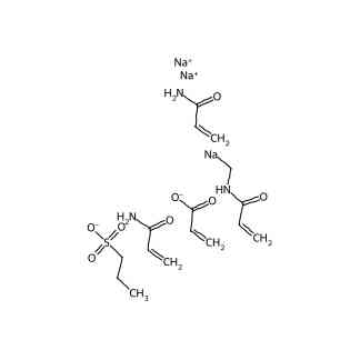 C=CC(=O)N[CH2][Na].C=CC(=O)[O-].C=CC(N)=O.C=CC(N)=O.CCCS(=O)(=O)[O-].[Na+].[Na+]